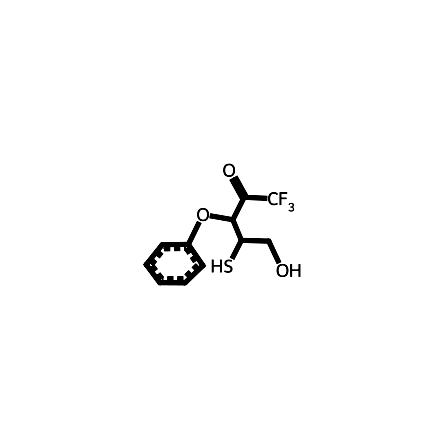 O=C(C(Oc1ccccc1)C(S)CO)C(F)(F)F